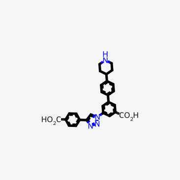 O=C(O)c1ccc(-c2cn(-c3cc(C(=O)O)cc(-c4ccc(C5CCNCC5)cc4)c3)nn2)cc1